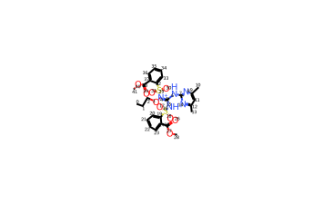 CCCO[N+](=C(Nc1nc(C)cc(C)n1)NS(=O)(=O)c1ccccc1C(=O)OC)S(=O)(=O)c1ccccc1C(=O)OC